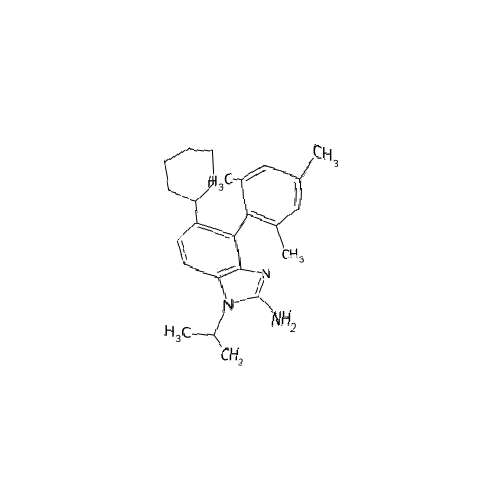 Cc1cc(C)c(-c2c(C3CCCCC3)ccc3c2nc(N)n3C(C)C)c(C)c1